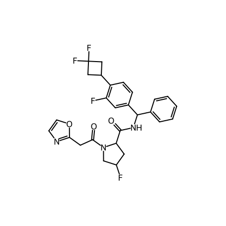 O=C(NC(c1ccccc1)c1ccc(C2CC(F)(F)C2)c(F)c1)C1CC(F)CN1C(=O)Cc1ncco1